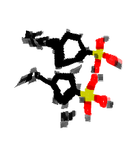 Cc1ccc(S(=O)(=O)[O-])cc1.Cc1ccc(S(=O)(=O)[O-])cc1.[Na+].[Na+]